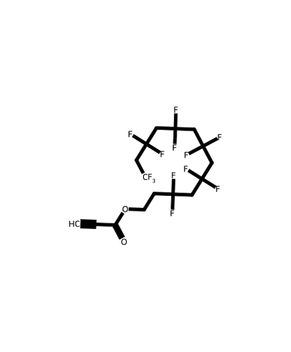 C#CC(=O)OCCC(F)(F)CC(F)(F)CC(F)(F)CC(F)(F)CC(F)(F)CC(F)(F)F